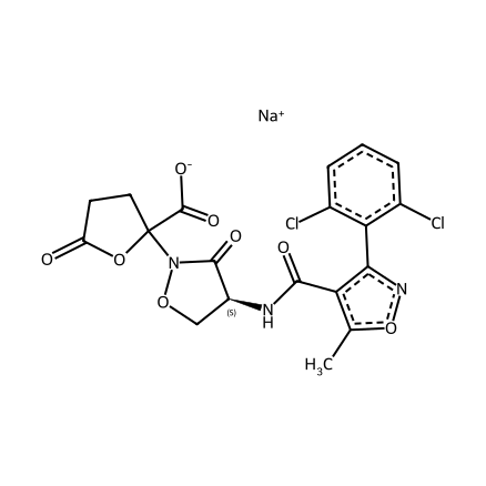 Cc1onc(-c2c(Cl)cccc2Cl)c1C(=O)N[C@H]1CON(C2(C(=O)[O-])CCC(=O)O2)C1=O.[Na+]